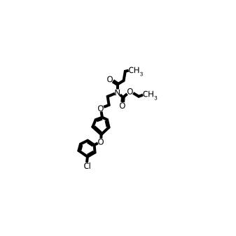 CCCC(=O)N(CCOc1ccc(Oc2cccc(Cl)c2)cc1)C(=O)OCC